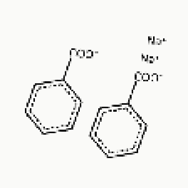 O=C([O-])c1ccccc1.O=C([O-])c1ccccc1.[Na+].[Na+]